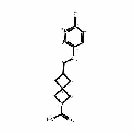 O=C(O)N1CC2(CC(COc3ccc(Cl)nn3)C2)C1